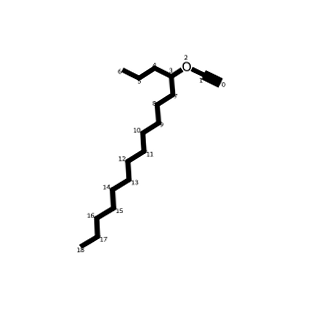 C#COC(CCC)CCCCCCCCCCCC